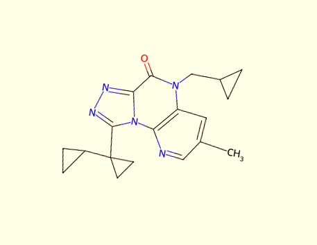 Cc1cnc2c(c1)n(CC1CC1)c(=O)c1nnc(C3(C4CC4)CC3)n12